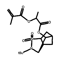 C=C(C)C(=O)OC(C)C(=O)OC1C2CC3C1N(C(C)(C)C)S(=O)(=O)C3C2